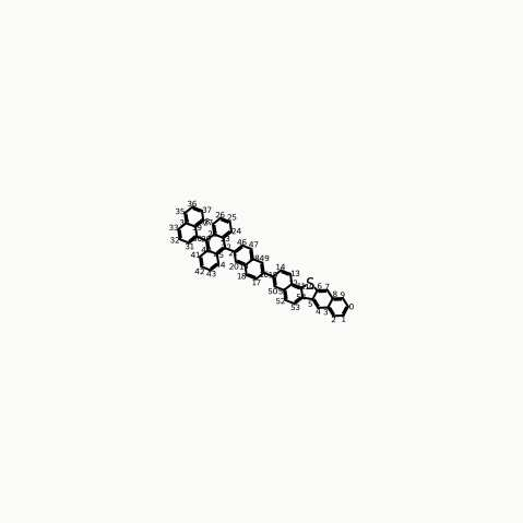 c1ccc2cc3c(cc2c1)sc1c2ccc(-c4ccc5cc(-c6c7ccccc7c(-c7cccc8ccccc78)c7ccccc67)ccc5c4)cc2ccc31